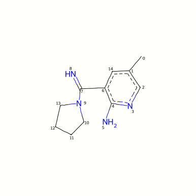 Cc1cnc(N)c(C(=N)N2CCCC2)c1